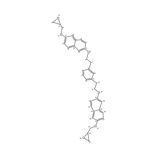 c1cc(CCOc2ccc3cc(OCC4CO4)ccc3c2)cc(CCOc2ccc3cc(OCC4CO4)ccc3c2)c1